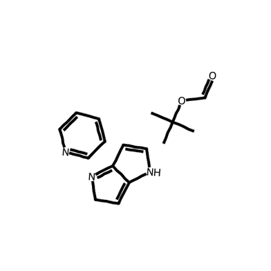 C1=c2[nH]ccc2=NC1.CC(C)(C)OC=O.c1ccncc1